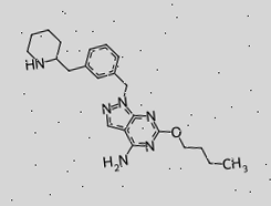 CCCCOc1nc(N)c2cnn(Cc3cccc(CC4CCCCN4)c3)c2n1